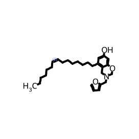 CCCCCC/C=C\CCCCCCCc1cc(O)cc2c1CN(Cc1ccco1)CO2